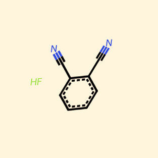 F.N#Cc1ccccc1C#N